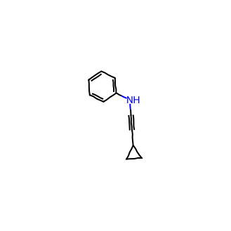 C(#CC1CC1)Nc1ccccc1